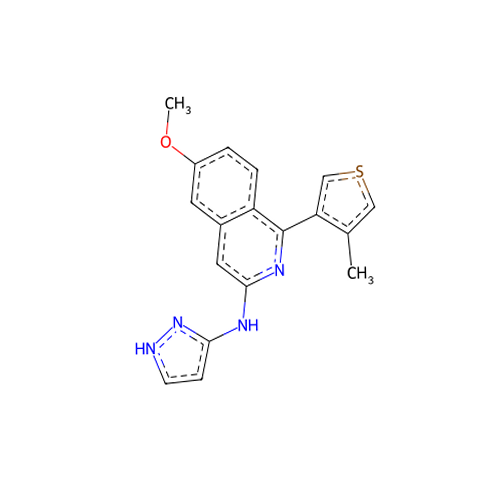 COc1ccc2c(-c3cscc3C)nc(Nc3cc[nH]n3)cc2c1